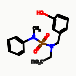 CCOC(=O)CN(Cc1cccc(O)c1)S(=O)(=O)N(C)c1ccccc1